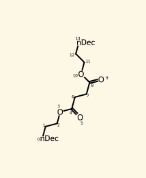 CCCCCCCCCCCCOC(=O)CCC(=O)OCCCCCCCCCCCC